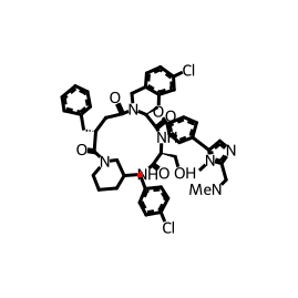 CNCc1ncc(-c2ccc(Oc3cc(Cl)ccc3CN3C(=O)C[C@@H](Cc4ccccc4)C(=O)N4CCC[C@@](Cc5ccc(Cl)cc5)(C4)NC(=O)[C@H](CO)NC(=O)[C@@H]3C)cc2)n1C